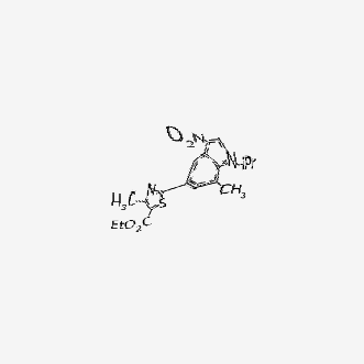 CCOC(=O)c1sc(-c2cc(C)c3c(c2)c([N+](=O)[O-])cn3C(C)C)nc1C